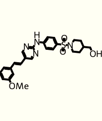 COc1cccc(C=Cc2cnc(Nc3ccc(S(=O)(=O)N4CCC(CO)CC4)cc3)nc2)c1